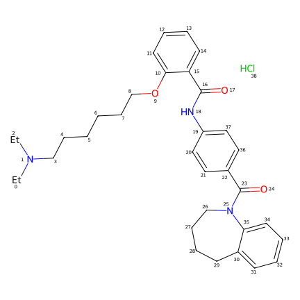 CCN(CC)CCCCCCOc1ccccc1C(=O)Nc1ccc(C(=O)N2CCCCc3ccccc32)cc1.Cl